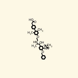 Cc1cc(OCCN[C@@H](C)[C@@H](O)c2ccc(OCc3ccccc3)c(NS(C)(=O)=O)c2)cc(C)c1-c1ccc(CC(=O)O)cc1